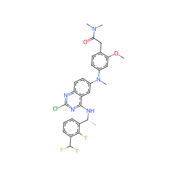 COc1cc(N(C)c2ccc3nc(Cl)nc(N[C@H](C)c4cccc(C(F)F)c4F)c3c2)ccc1CC(=O)N(C)C